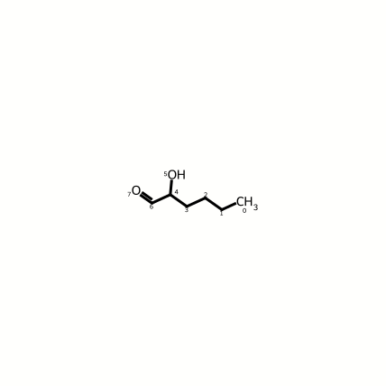 CCCCC(O)C=O